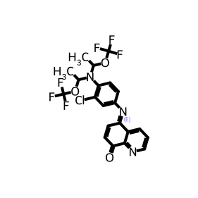 CC(OC(F)(F)F)N(c1ccc(/N=C2\C=CC(=O)c3ncccc32)cc1Cl)C(C)OC(F)(F)F